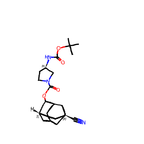 CC(C)(C)OC(=O)N[C@@H]1CCN(C(=O)OC2C3CC4C[C@H]2C[C@@](C#N)(C4)C3)C1